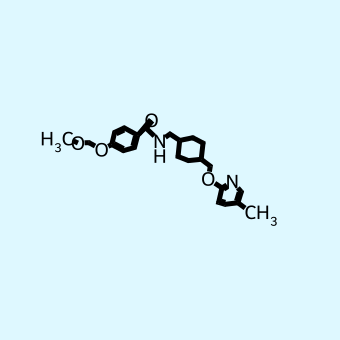 COCOc1ccc(C(=O)NCC2CCC(COc3ccc(C)cn3)CC2)cc1